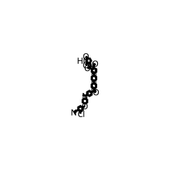 CN(c1ccc(C(=O)N2CCN(C3CCN(c4ccc5c(c4)C(=O)N(C4CCC(=O)NC4=O)C5=O)CC3)CC2)cc1)[C@H]1CC[C@H](Oc2ccc(C#N)c(Cl)c2)CC1